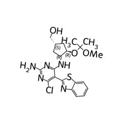 COC(C)(C)O[C@@H]1C[C@@H](CO)C[C@H]1Nc1nc(N)nc(Cl)c1-c1nc2ccccc2s1